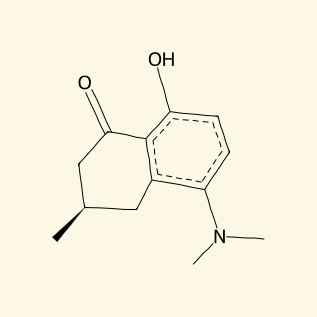 C[C@H]1CC(=O)c2c(O)ccc(N(C)C)c2C1